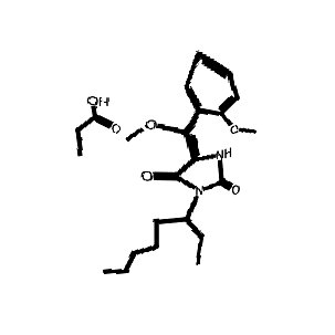 CCC(=O)O.CCCCCC(CC)N1C(=O)NC(=C(OC)c2ccccc2OC)C1=O